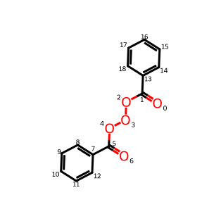 O=C(OOOC(=O)c1ccccc1)c1ccccc1